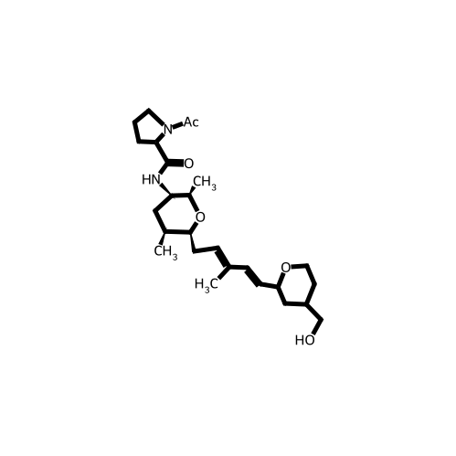 CC(=O)N1CCCC1C(=O)N[C@@H]1C[C@H](C)[C@H](C/C=C(C)/C=C/C2CC(CO)CCO2)O[C@@H]1C